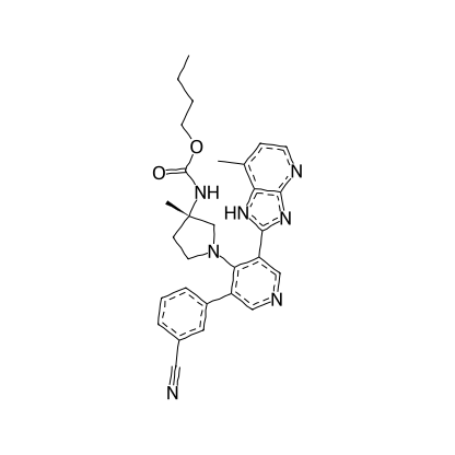 CCCCOC(=O)N[C@@]1(C)CCN(c2c(-c3cccc(C#N)c3)cncc2-c2nc3nccc(C)c3[nH]2)C1